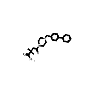 CC(C)(CC(=O)N1CCN(Cc2ccc(-c3ccccc3)cc2)CC1)C(N)=O